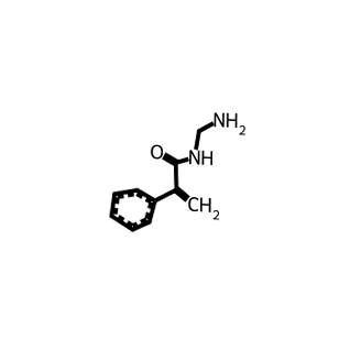 C=C(C(=O)NCN)c1ccccc1